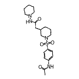 CC(=O)Nc1ccc(S(=O)(=O)N2CCCC(CC(=O)NN3CCCCC3)C2)cc1